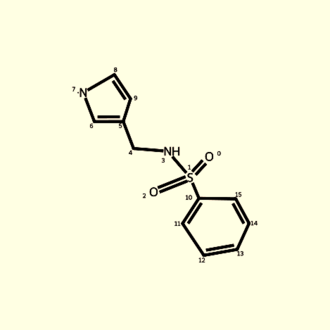 O=S(=O)(NCC1=C[N]C=C1)c1ccccc1